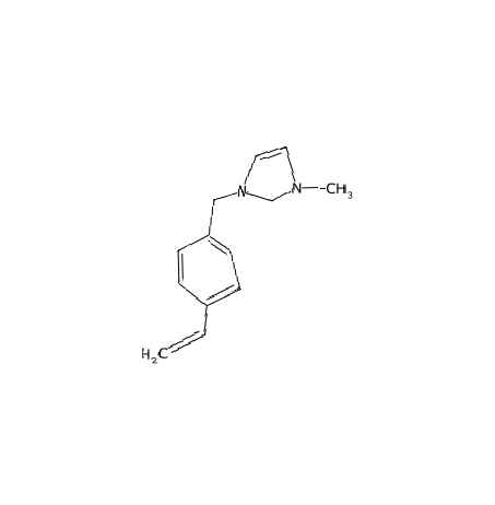 C=Cc1ccc(CN2C=CN(C)C2)cc1